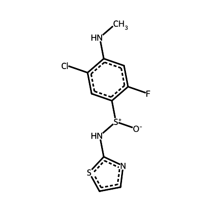 CNc1cc(F)c([S+]([O-])Nc2nccs2)cc1Cl